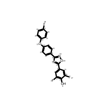 Oc1c(F)cc(-c2nc(-c3ccc(Oc4ccc(F)cc4)cc3)no2)cc1F